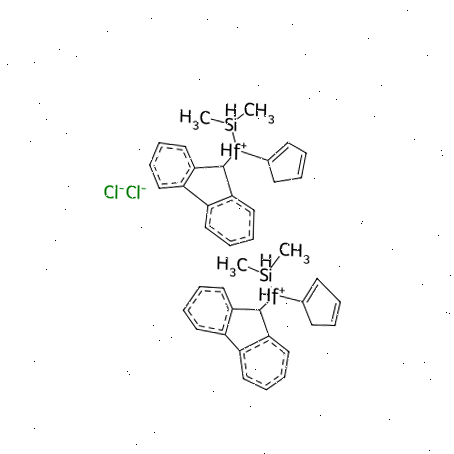 C[SiH](C)[Hf+]([C]1=CC=CC1)[CH]1c2ccccc2-c2ccccc21.C[SiH](C)[Hf+]([C]1=CC=CC1)[CH]1c2ccccc2-c2ccccc21.[Cl-].[Cl-]